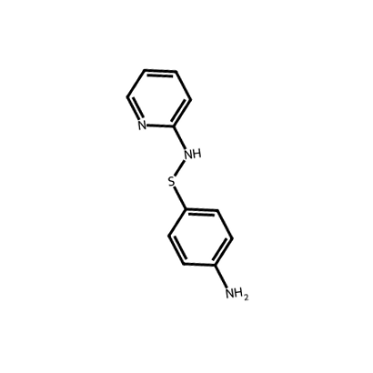 Nc1ccc(SNc2ccccn2)cc1